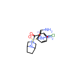 N/C=C(\NN)C(=O)N1CC2CCC(C1)N2[S+]([O-])c1ccc(Cl)cc1